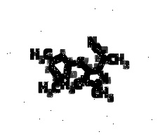 Cc1cc(C)cc(Sc2c(C(C)C#N)nc(C)n2C)c1